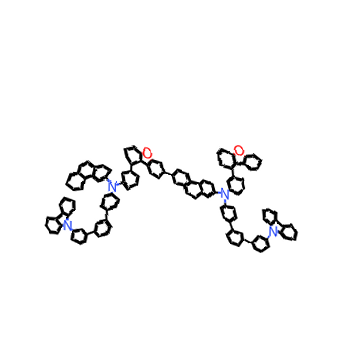 c1cc(-c2ccc(N(c3cccc(-c4cccc5oc6ccccc6c45)c3)c3ccc4c(ccc5cc(-c6ccc7c(c6)oc6cccc(-c8cccc(N(c9ccc(-c%10cccc(-c%11cccc(-n%12c%13ccccc%13c%13ccccc%13%12)c%11)c%10)cc9)c9ccc%10ccc%11ccccc%11c%10c9)c8)c67)ccc54)c3)cc2)cc(-c2cccc(-n3c4ccccc4c4ccccc43)c2)c1